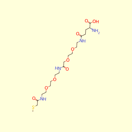 CSCC(=O)NCCOCCOCCNC(=O)COCCOCCNC(=O)CC[C@H](N)C(=O)O